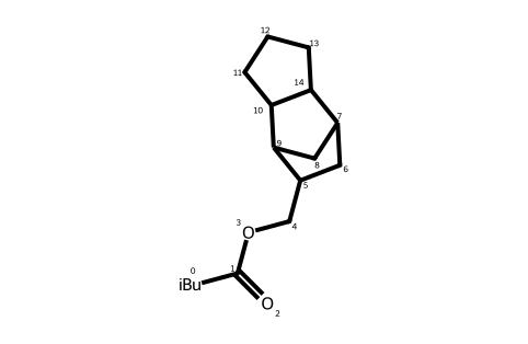 CCC(C)C(=O)OCC1CC2CC1C1CCCC21